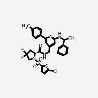 Cc1ccc(-c2cc(CNC(=O)[C@@H]3CC(F)(F)CN3S(=O)(=O)c3ccc(Cl)s3)cc(NC(C)c3ccccc3)n2)cc1